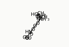 CC(NC(=O)C(C)NC(=O)CCOCCOCCOCCNC(=O)CCCN1C(=O)C=CC1=O)C(=O)O